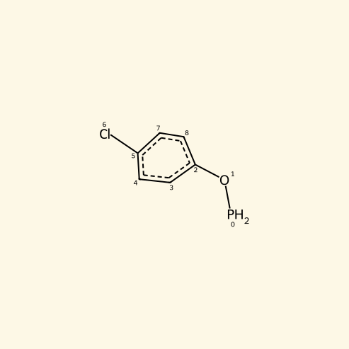 POc1ccc(Cl)cc1